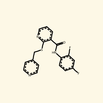 O=C(Nc1ccc(F)cc1F)c1cccnc1SCc1ccncc1